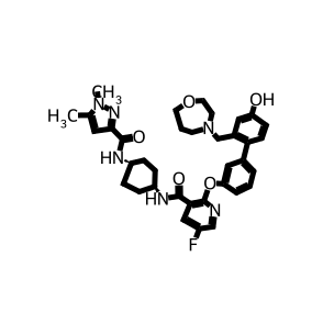 Cc1cc(C(=O)N[C@H]2CC[C@H](NC(=O)c3cc(F)cnc3Oc3cccc(-c4ccc(O)cc4CN4CCCOCC4)c3)CC2)nn1C